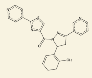 O=C(c1csc(-c2ccncc2)n1)N1N=C(c2cccnc2)CC1C1=C(O)CCC=C1